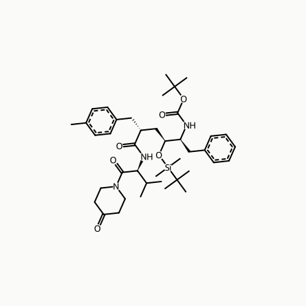 Cc1ccc(C[C@H](C[C@H](O[Si](C)(C)C(C)(C)C)[C@H](Cc2ccccc2)NC(=O)OC(C)(C)C)C(=O)N[C@H](C(=O)N2CCC(=O)CC2)C(C)C)cc1